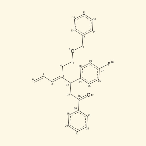 C=C/C=C(\CCOCc1ccccc1)C(CC(=O)c1ccccc1)c1ccc(F)cc1